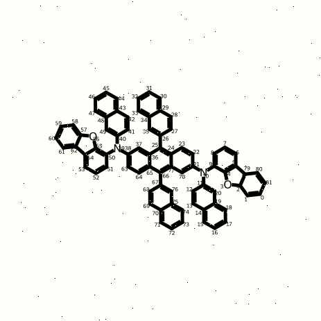 C1=CC2Oc3c(cccc3N(c3ccc4ccccc4c3)c3ccc4c(-c5ccc6ccccc6c5)c5cc(N(c6ccc7ccccc7c6)c6cccc7c6oc6ccccc67)ccc5c(-c5ccc6ccccc6c5)c4c3)C2C=C1